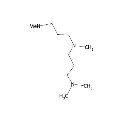 CNCCCN(C)CCCN(C)C